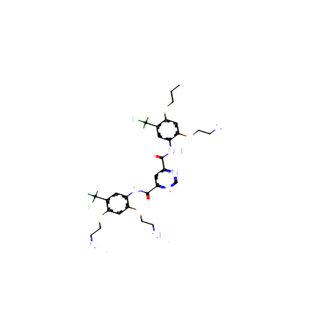 CCCSc1cc(SCCN)c(NC(=O)c2cc(C(=O)Nc3cc(C(F)(F)F)c(SCCN)cc3SCCN)ncn2)cc1C(F)(F)F